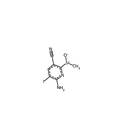 C[S+]([O-])c1nc(N)c(I)cc1C#N